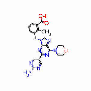 Cc1c(Cn2cnc3c(N4CCOCC4)nc(-c4cnc(N)nc4)nc32)cccc1C(=O)O